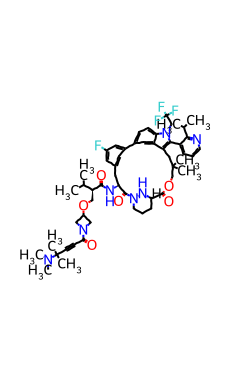 CC(C)c1ncccc1-c1c2c3cc(ccc3n1CC(F)(F)F)-c1cc(F)cc(c1)C[C@H](NC(=O)[C@@H](COC1CN(C(=O)C#CC(C)(C)N(C)C)C1)C(C)C)C(=O)N1CCC[C@H](N1)C(=O)OCC(C)(C)C2